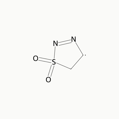 O=S1(=O)C[CH]N=N1